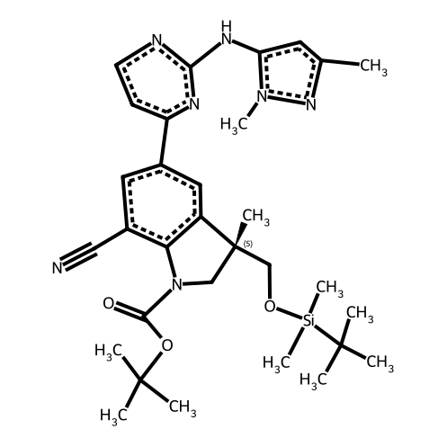 Cc1cc(Nc2nccc(-c3cc(C#N)c4c(c3)[C@](C)(CO[Si](C)(C)C(C)(C)C)CN4C(=O)OC(C)(C)C)n2)n(C)n1